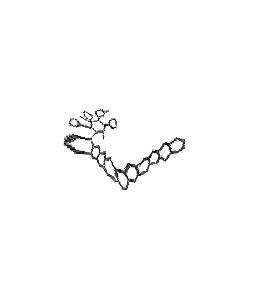 COC1C(=O)C(C)=C(c2cccc3cc4cc5cc6ccc7cc8cc9cc%10cc%11ccccc%11cc%10cc9cc8cc7c6cc5cc4cc23)C(=O)C1(C)OC